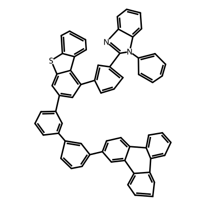 c1ccc(-n2c(-c3cccc(-c4cc(-c5cccc(-c6cccc(-c7ccc8c9ccccc9c9ccccc9c8c7)c6)c5)cc5sc6ccccc6c45)c3)nc3ccccc32)cc1